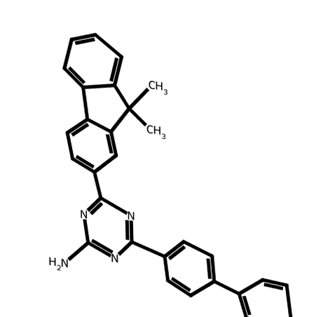 CC1(C)c2ccccc2-c2ccc(-c3nc(N)nc(-c4ccc(C5=CCCC=C5)cc4)n3)cc21